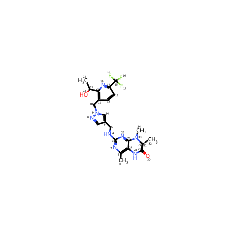 Cc1nc(NCc2cnn(Cc3ccc(C(F)(F)F)nc3C(C)O)c2)nc2c1NC(=O)[C@H](C)N2C